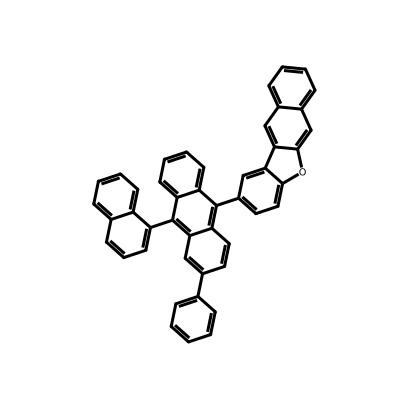 c1ccc(-c2ccc3c(-c4ccc5oc6cc7ccccc7cc6c5c4)c4ccccc4c(-c4cccc5ccccc45)c3c2)cc1